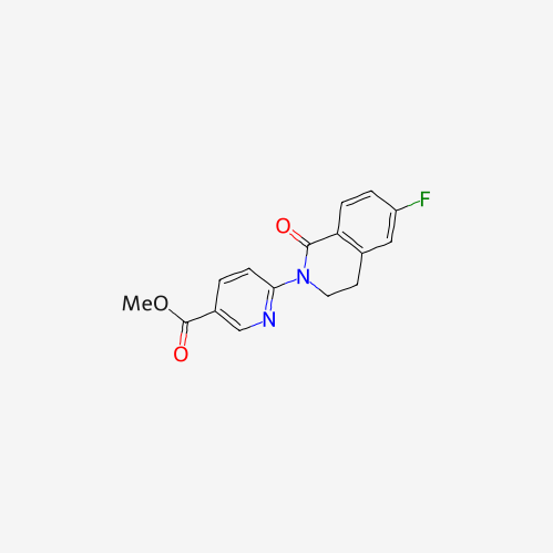 COC(=O)c1ccc(N2CCc3cc(F)ccc3C2=O)nc1